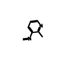 C=Nc1cccnc1C